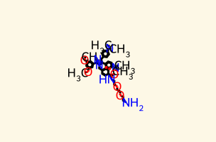 COc1cc(OC)cc(-c2nc(-c3ccc(N(C)C)cc3)c(-c3ccc(N(C)C)cc3)n2CC2=CCC(C(=O)NCCOCCOCCN)C=C2)c1